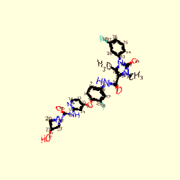 Cc1c(C(=O)Nc2ccc(Oc3ccnc(NC(=O)N4CC(O)C4)c3)c(F)c2)n(C)c(=O)n1-c1cccc(F)c1